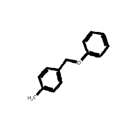 Cc1ccc(COc2ccccc2)cc1